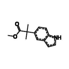 COC(=O)C(C)(C)c1ccc2[nH]ccc2c1